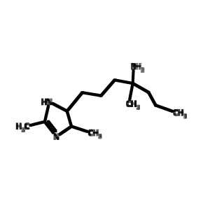 BC(C)(CCC)CCCC1NC(C)=NC1C